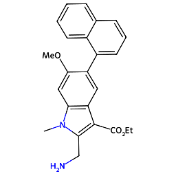 CCOC(=O)c1c(CN)n(C)c2cc(OC)c(-c3cccc4ccccc34)cc12